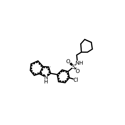 O=S(=O)(NCC1CCCCC1)c1cc(-c2[c]c3ccccc3[nH]2)ccc1Cl